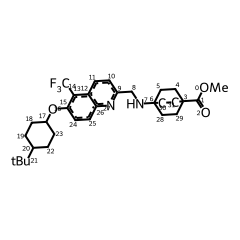 COC(=O)C12CCC(NCc3ccc4c(C(F)(F)F)c(OC5CCC(C(C)(C)C)CC5)ccc4n3)(CC1)CC2